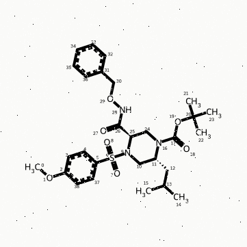 COc1ccc(S(=O)(=O)N2C[C@@H](CC(C)C)N(C(=O)OC(C)(C)C)C[C@@H]2C(=O)NOCc2ccccc2)cc1